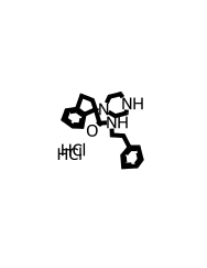 Cl.Cl.O=C(NCCc1ccccc1)[C@]1(N2CCNCC2)CCc2ccccc21